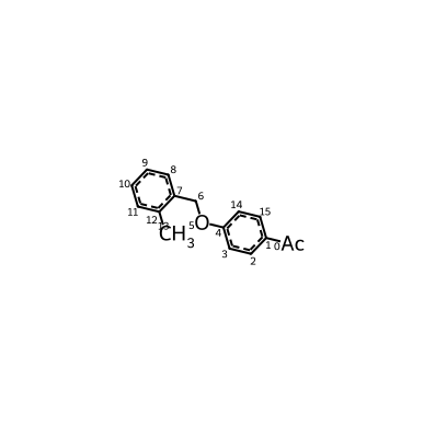 CC(=O)c1ccc(OCc2ccccc2C)cc1